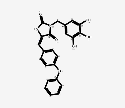 O=C1S/C(=C/c2ccc(Oc3ccccc3)cc2)C(=O)N1Cc1cc(O)c(O)c(O)c1